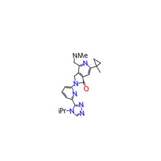 CNCc1nc(C2(C)CC2)cc2c1CN(c1cccc(-c3nncn3C(C)C)n1)C2=O